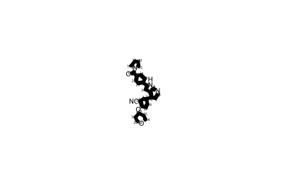 N#Cc1cc(-c2ccnc3[nH]c(-c4ccc(C(=O)N5CCCC5)cc4)cc23)ccc1OC1CCOCC1